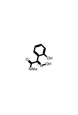 CNC(=O)/C(=N/O)c1ccccc1O